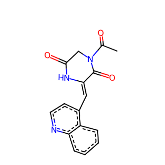 CC(=O)N1CC(=O)N/C(=C\c2ccnc3ccccc23)C1=O